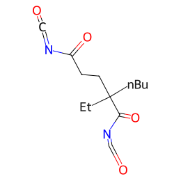 CCCCC(CC)(CCC(=O)N=C=O)C(=O)N=C=O